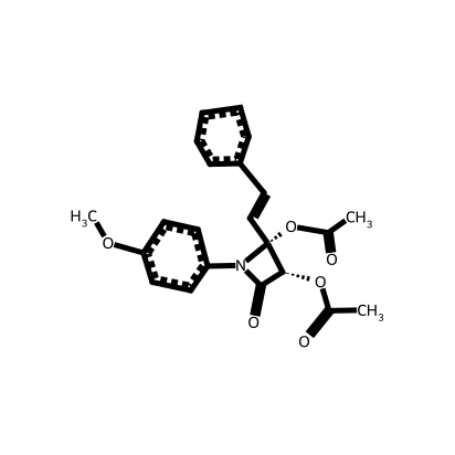 COc1ccc(N2C(=O)[C@@H](OC(C)=O)[C@@]2(C=Cc2ccccc2)OC(C)=O)cc1